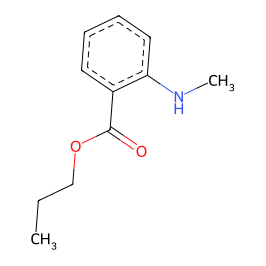 CCCOC(=O)c1ccccc1NC